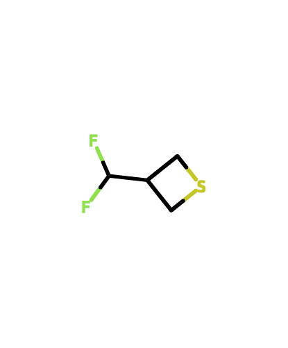 FC(F)C1CSC1